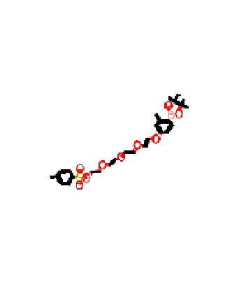 Cc1ccc(S(=O)(=O)OCCOCCOCCOCCOc2ccc(B3OC(C)(C)C(C)(C)O3)c(C)c2)cc1